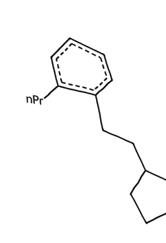 CCCc1ccccc1CCC1CCCC1